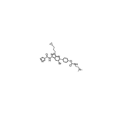 CN(C)CCNC(=O)Oc1ccc(-c2nc3c(cc2Br)c(NC(=O)c2cnsc2)nn3CCCC2CC2)cc1